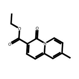 CCOC(=O)c1ccc2cc(C)ccn2c1=O